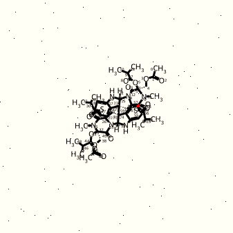 CC(=O)OC[C@@]1(OC(=O)C(C)C)C(=O)N2[C@H]3Nc4ccccc4[C@@]3([C@]34C[C@]5(SC(=O)C(C)C)C(=O)N(C)[C@](COC(C)=O)(OC(=O)C(C)C)C(=O)N5[C@H]3Nc3ccccc34)C[C@]2(SC(=O)C(C)C)C(=O)N1C